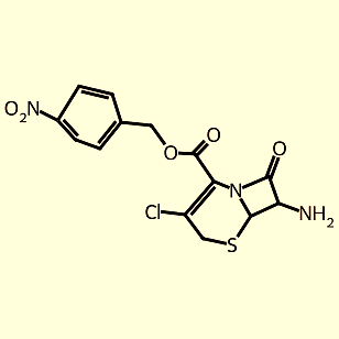 NC1C(=O)N2C(C(=O)OCc3ccc([N+](=O)[O-])cc3)=C(Cl)CSC12